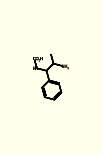 CC(N)C(NC(=O)O)c1ccccc1